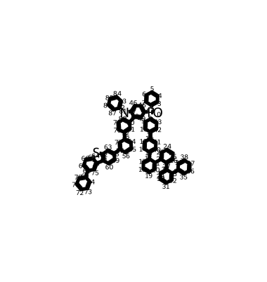 O=P(c1ccccc1)(c1ccc(-c2ccc(-c3ccccc3-c3ccccc3-c3ccccc3-c3ccccc3)cc2)cc1)c1ccc2c(c1)c1cc(-c3cccc(-c4ccc5c(c4)sc4ccc(-c6ccccc6)cc45)c3)ccc1n2-c1ccccc1